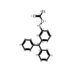 CCC(=O)OSc1cccc(C(c2ccccc2)c2ccccc2)c1